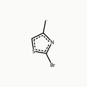 [CH2]c1csc(Br)n1